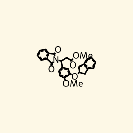 COC(=O)CC(c1ccc(OC)c(OC2Cc3ccccc3C2)c1)N1C(=O)c2ccccc2C1=O